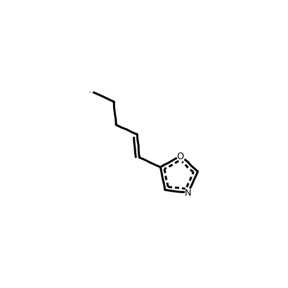 [CH2]CCC=Cc1cnco1